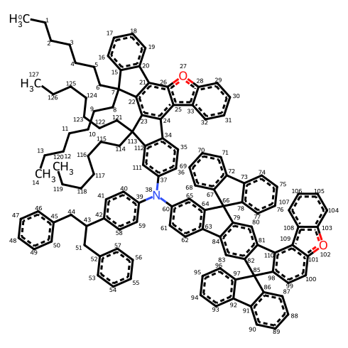 CCCCCCCC1(CCCCCCC)c2ccccc2-c2c1c1c(c3c2oc2ccccc23)-c2ccc(N(c3ccc(C(Cc4ccccc4)Cc4ccccc4)cc3)c3ccc4c(c3)C3(c5ccccc5-c5ccccc53)c3cc5c(cc3-4)C3(c4ccccc4-c4ccccc43)c3ccc4oc6ccccc6c4c3-5)cc2C1(CCCCCCC)CCCCCCC